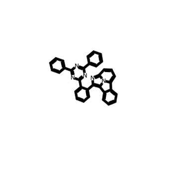 c1ccc(-c2nc(-c3ccccc3)nc(-c3ccccc3-c3nc4cccc5c6ccccc6c3n45)n2)cc1